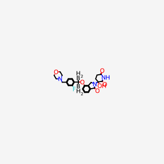 BC(B)(Oc1cccc2c1CN(C1(O)CCC(=O)NC1=O)C2=O)c1ccc(CN2CCOCC2)cc1F